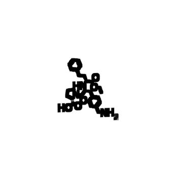 CCOC(=O)[C@H](CCc1ccccc1)N[C@@H](Cc1ccc(CN)cc1)C(=O)N1CCC[C@H]1C(=O)O